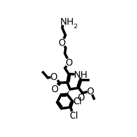 CCOC(=O)C1=C(COCCOCCN)NC(C)=C(C(=O)OC)[C@@H]1c1cccc(Cl)c1Cl